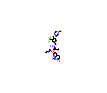 C=C/C=C(\C)O[C@H]1C(C(C)Oc2ccnc3c2CCC(=O)N3)[C@@H]1NC(=O)c1ccc(CN2CCN(CC)CC2)c(C(F)(F)F)c1